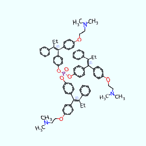 CC/C(=C(\c1ccc(OCCN(C)C)cc1)c1ccc(OP(=O)(Oc2ccc(/C(=C(/CC)c3ccccc3)c3ccc(OCCN(C)C)cc3)cc2)Oc2ccc(/C(=C(/CC)c3ccccc3)c3ccc(OCCN(C)C)cc3)cc2)cc1)c1ccccc1